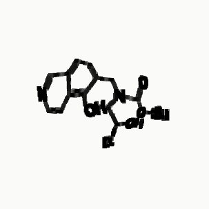 CC[C@H](O)CN(Cc1ccc2cnccc2c1O)C(=O)OC(C)(C)C